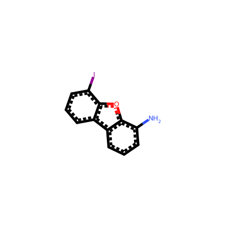 Nc1cccc2c1oc1c(I)cccc12